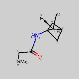 CNCC(=O)NC12CC(C1)[C@H]2C